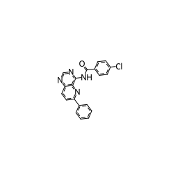 O=C(Nc1ncnc2ccc(-c3ccccc3)nc12)c1ccc(Cl)cc1